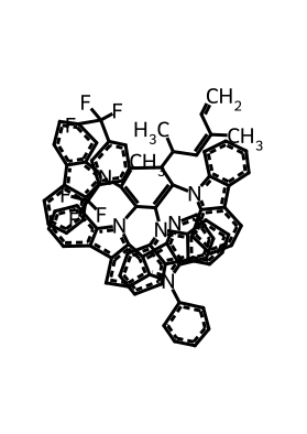 C=C/C(C)=C\C(C)C(/C(=C(\C(=C(/C)n1c2ccccc2c2ccccc21)n1c2ccccc2c2ccc3c(c4ncccc4n3-c3ccccc3)c21)n1c2ccccc2c2ccccc21)n1c2ccccc2c2ccccc21)c1cc(C(F)(F)F)cc(C(F)(F)F)c1